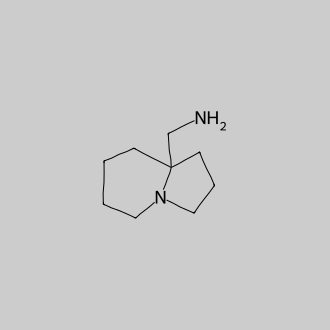 NCC12CCCCN1CCC2